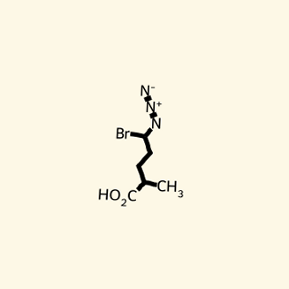 CC(CCC(Br)N=[N+]=[N-])C(=O)O